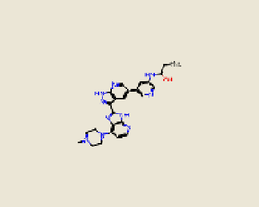 CN1CCN(c2ccnc3[nH]c(-c4n[nH]c5ncc(-c6cncc(NC(O)CC(C)(C)C)c6)cc45)nc23)CC1